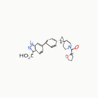 Cn1nc(C(=O)O)c2ccc(-c3ccc([C@@H]4CC45CCN(C(=O)[C@H]4CCCO4)CC5)cc3)cc21